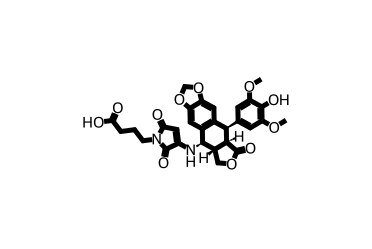 COc1cc([C@@H]2c3cc4c(cc3[C@@H](NC3=CC(=O)N(CCCC(=O)O)C3=O)[C@H]3COC(=O)[C@H]23)OCO4)cc(OC)c1O